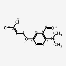 CN(C)c1ccc(OCC=C(Cl)Cl)cc1C=O